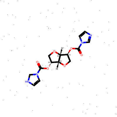 O=C(O[C@@H]1CO[C@H]2[C@@H]1OC[C@@H]2OC(=O)n1ccnc1)N1C=CNC1